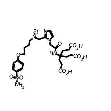 CCN(CCCCOc1ccc(S(N)(=O)=O)cc1)Cc1nccn1CC(=O)NC(CCC(=O)O)(CCC(=O)O)CCC(=O)O